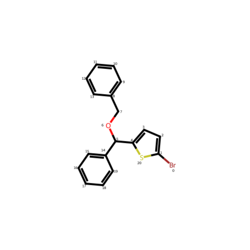 Brc1ccc(C(OCc2ccccc2)c2ccccc2)s1